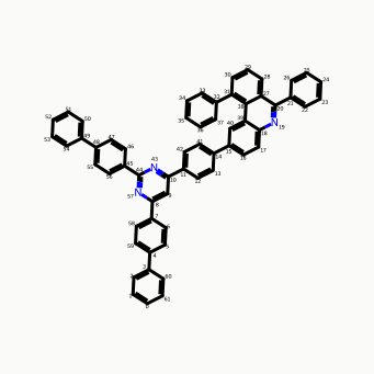 c1ccc(-c2ccc(-c3cc(-c4ccc(-c5ccc6nc(-c7ccccc7)c7cccc(-c8ccccc8)c7c6c5)cc4)nc(-c4ccc(-c5ccccc5)cc4)n3)cc2)cc1